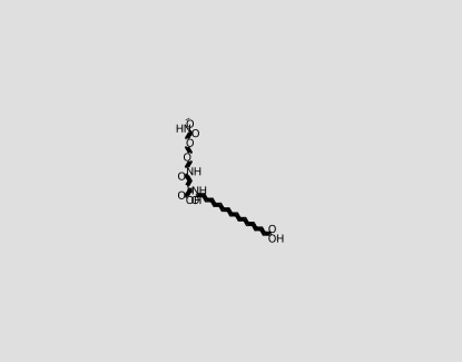 CONC(=O)COCCOCCNC(=O)CC[C@H](NC(=O)CCCCCCCCCCCCCCCCC(=O)O)C(=O)O